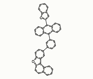 c1cc(-c2ccc3oc4ccc5ccccc5c4c3c2)cc(-c2c3ccccc3c(-c3cc4ccccc4o3)c3ccccc23)c1